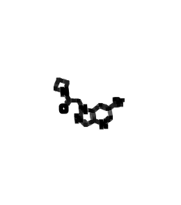 O=C(Cn1ncc2ncc(Br)cc21)N1CCC1